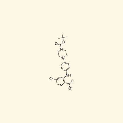 CC(C)(C)OC(=O)N1CCN(c2ccc(Nc3cc(Cl)ccc3[N+](=O)[O-])cc2)CC1